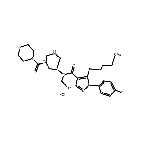 COCCCCc1c(C(=O)N(CC(C)C)[C@@H]2CNC[C@H](C(=O)N3CCOCC3)C2)nnn1-c1ccc(F)cc1.Cl